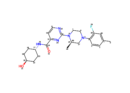 Cc1ccc(N2CCN(c3nccc(C(=O)N[C@H]4CC[C@H](O)CC4)n3)[C@H](C)C2)c(F)c1